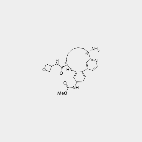 COC(=O)Nc1ccc2c(c1)N[C@@H](C(=O)NC1COC1)CCCCC[C@H](N)c1cc-2ccn1